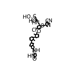 Cc1c(COc2cc(OCc3cncc(C#N)c3)c(CNC[C@@H](O)CC(=O)O)cc2Cl)cccc1-c1cccc(-c2ccc3c(c2)CC(NC[C@@H]2CCC(=O)N2)C3)c1C